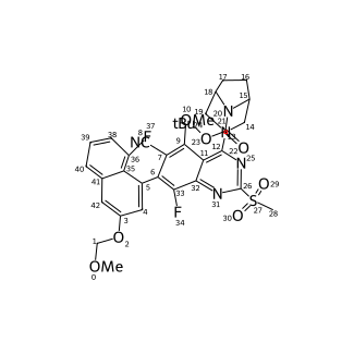 COCOc1cc(-c2c(C#N)c(OC)c3c(N4CC5CCC(C4)N5C(=O)OC(C)(C)C)nc(S(C)(=O)=O)nc3c2F)c2c(F)cccc2c1